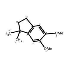 COc1cc2c(cc1OC)C(C)(C)CC2